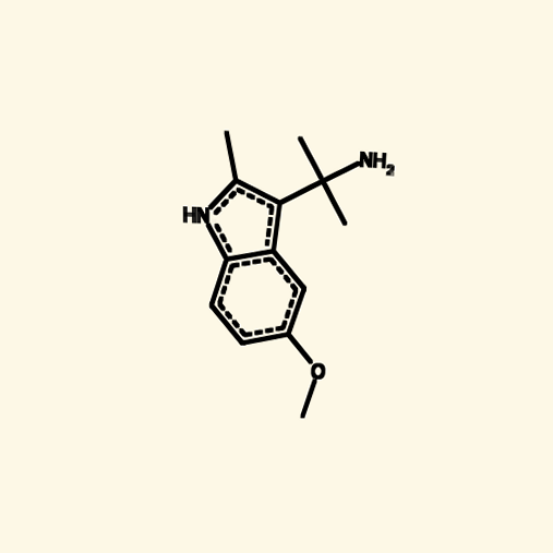 COc1ccc2[nH]c(C)c(C(C)(C)N)c2c1